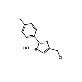 Cc1ccc(-c2nc(CCl)c[nH]2)cc1.Cl